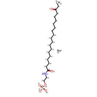 CCC(=O)CCCCCCCCCCCCCCCCC(=O)NCCOS(=O)(=O)[O-].[Na+]